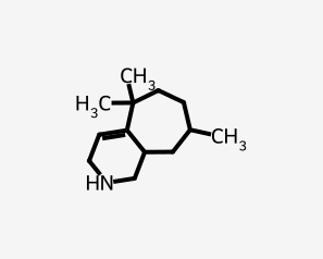 CC1CCC(C)(C)C2=CCNCC2C1